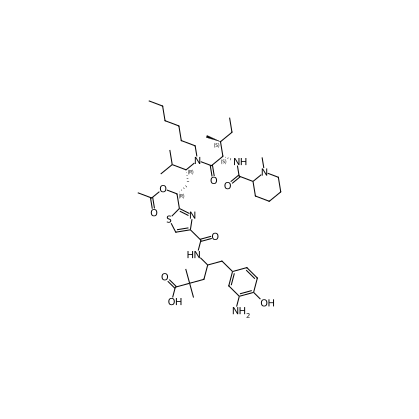 CCCCCCN(C(=O)[C@@H](NC(=O)C1CCCCN1C)[C@@H](C)CC)[C@H](C[C@@H](OC(C)=O)c1nc(C(=O)NC(Cc2ccc(O)c(N)c2)CC(C)(C)C(=O)O)cs1)C(C)C